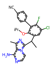 Cc1nc(C(C)c2cc(Cl)c(F)c(-c3ccc(C#N)cc3)c2OC(C)C)n2ccnc(N)c12